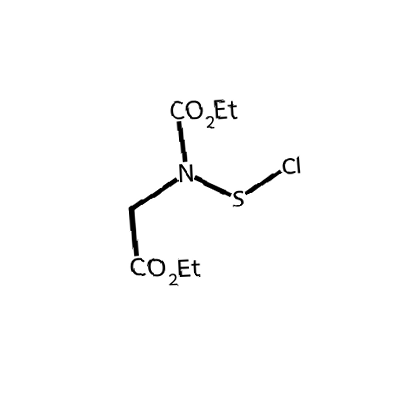 CCOC(=O)CN(SCl)C(=O)OCC